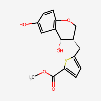 COC(=O)c1ccc(C[C@H]2COc3ccc(O)cc3[C@H]2O)s1